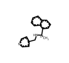 C[C@@H](NCc1ccncc1)c1cccc2ccccc12